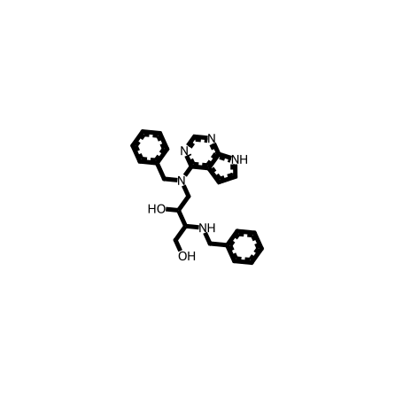 OCC(NCc1ccccc1)C(O)CN(Cc1ccccc1)c1ncnc2[nH]ccc12